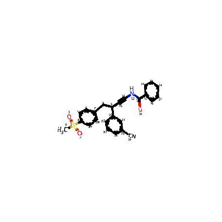 CS(=O)(=O)c1ccc(CC(C#CNC(=O)c2ccccc2)c2cccc(C#N)c2)cc1